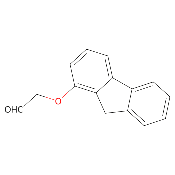 O=CCOc1cccc2c1Cc1ccccc1-2